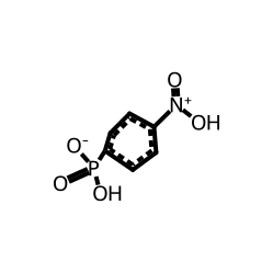 O=[N+](O)c1ccc(P(=O)([O-])O)cc1